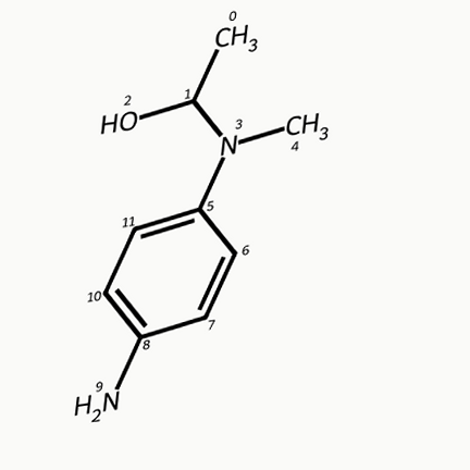 CC(O)N(C)c1ccc(N)cc1